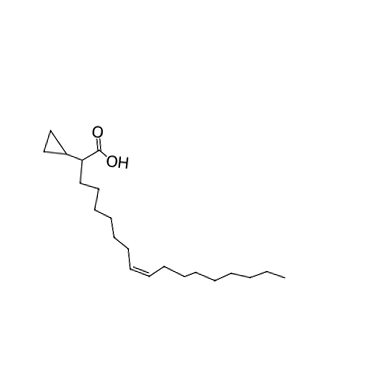 CCCCCCCC/C=C\CCCCCCC(C(=O)O)C1CC1